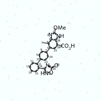 COc1nc2c(C)c(-c3ccc(-c4ccccc4-c4nc(=O)o[nH]4)cc3)cc(C(=O)O)c2[nH]1